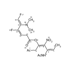 C/C=C(NC(C)=O)\C(=C(/CC(C)=O)OC(=O)C/C=C(F)\C(=C\F)N(C)C)[N+](=O)[O-]